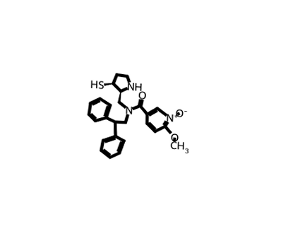 COc1ccc(C(=O)N(CC(c2ccccc2)c2ccccc2)C[C@@H]2NCC[C@@H]2S)c[n+]1[O-]